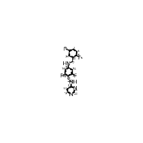 Fc1ccc(F)c(CNc2cc(F)c(SNc3ccncn3)c(F)c2)c1